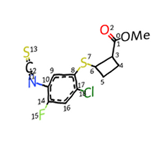 COC(=O)C1CCC1Sc1cc(N=C=S)c(F)cc1Cl